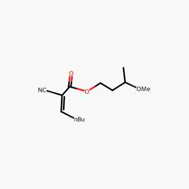 CCCCC=C(C#N)C(=O)OCCC(C)OC